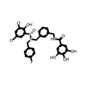 O=C(NCc1cccc(CN(Cc2ccc(F)cc2)[S+]([O-])c2cc(Cl)cc(Cl)c2O)c1)c1cc(O)c(O)c(O)c1